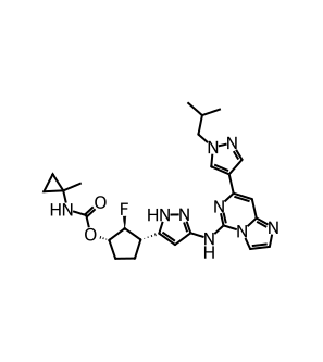 CC(C)Cn1cc(-c2cc3nccn3c(Nc3cc([C@@H]4CC[C@H](OC(=O)NC5(C)CC5)[C@H]4F)[nH]n3)n2)cn1